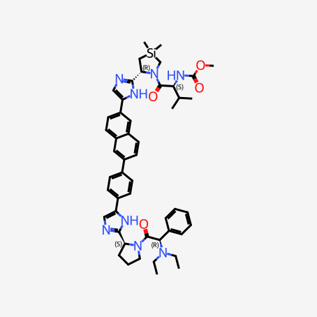 CCN(CC)[C@@H](C(=O)N1CCC[C@H]1c1ncc(-c2ccc(-c3ccc4cc(-c5cnc([C@@H]6C[Si](C)(C)CN6C(=O)[C@@H](NC(=O)OC)C(C)C)[nH]5)ccc4c3)cc2)[nH]1)c1ccccc1